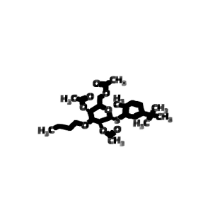 CCCCOC1[C@H](OC(C)=O)C(COC(C)=O)O[C@@H](Sc2cc(C(C)(C)C)ccc2C)[C@H]1OC(C)=O